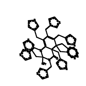 CCCC1(Cc2ccsc2)N(Cc2ccsc2)C(=O)C2(Cc3ccsc3)C(=C(Cc3ccsc3)C(Cc3ccsc3)=C(Cc3ccsc3)C2(Cc2ccsc2)Cc2ccsc2)N1Cc1ccsc1